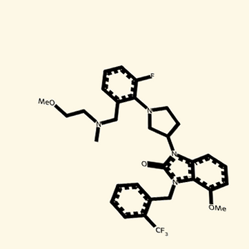 COCCN(C)Cc1cccc(F)c1N1CCC(n2c(=O)n(Cc3ccccc3C(F)(F)F)c3c(OC)cccc32)C1